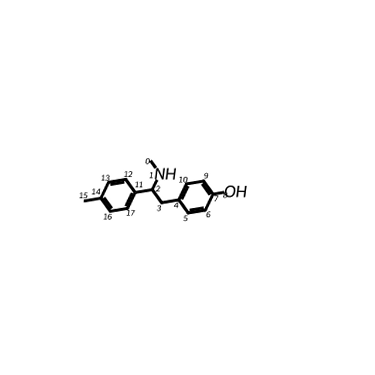 CNC(Cc1ccc(O)cc1)c1ccc(C)cc1